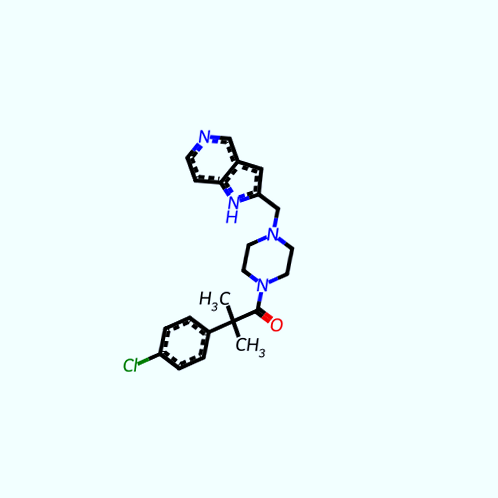 CC(C)(C(=O)N1CCN(Cc2cc3cnccc3[nH]2)CC1)c1ccc(Cl)cc1